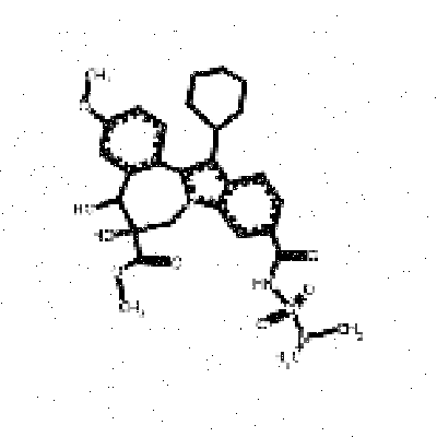 COC(=O)C1(O)Cn2c(c(C3CCCCC3)c3ccc(C(=O)NS(=O)(=O)N(C)C)cc32)-c2ccc(OC)cc2C1O